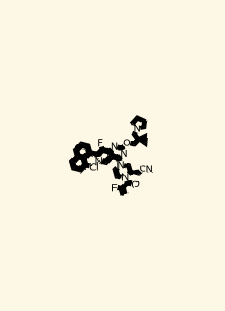 C=C(F)C(=O)N1CCN(c2nc(OCC3(CN4CCCC4)CC3)nc3c(F)c(-c4cccc5cccc(Cl)c45)ncc23)CC1CC#N